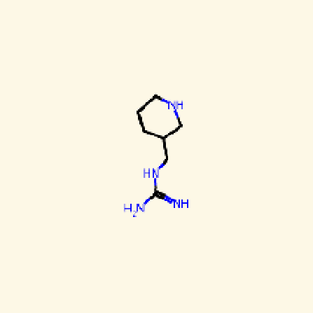 N=C(N)NCC1CCCNC1